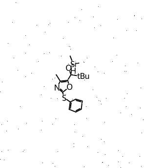 Cc1nc(Sc2ccccc2)oc1C(O[SiH](C)C)C(C)(C)C